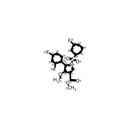 COC(=O)c1cn(S(=O)(=O)c2cccc(F)c2)c(-c2ccc(F)cc2F)c1OC